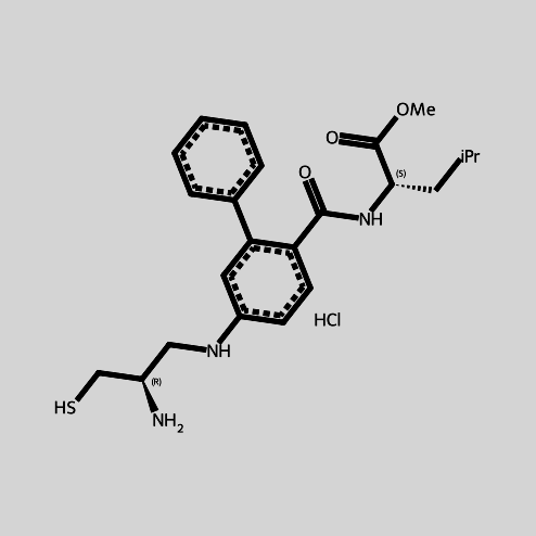 COC(=O)[C@H](CC(C)C)NC(=O)c1ccc(NC[C@@H](N)CS)cc1-c1ccccc1.Cl